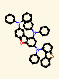 c1ccc(N(c2ccccc2)c2ccc3oc4cc(N(c5ccccc5)c5cccc6sc7ccccc7c56)cc(N(c5ccccc5)c5ccccc5)c4c3c2)cc1